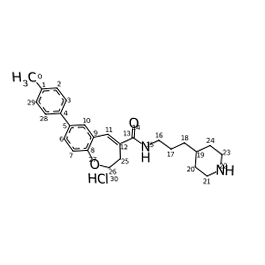 Cc1ccc(-c2ccc3c(c2)C=C(C(=O)NCCCC2CCNCC2)CCO3)cc1.Cl